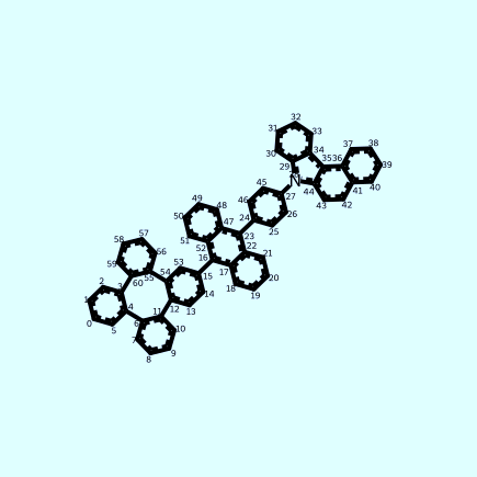 c1ccc2c(c1)-c1ccccc1-c1ccc(-c3c4ccccc4c(-c4ccc(-n5c6ccccc6c6c7ccccc7ccc65)cc4)c4ccccc34)cc1-c1ccccc1-2